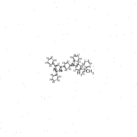 CC1(C)c2ccccc2-c2c1ccc1c2c2ccccc2n1-c1ccc(-c2cc(-c3ccccc3)nc(-c3ccccc3)n2)cc1